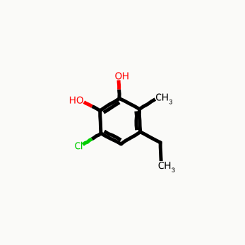 CCc1cc(Cl)c(O)c(O)c1C